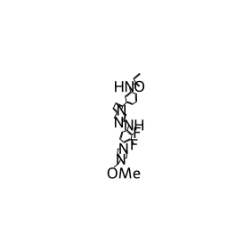 C=CC(=O)Nc1cccc(-c2ccc3cnc(Nc4ccc(N5CCN(CCOC)CC5)c(F)c4F)cn23)c1